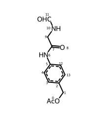 CC(=O)OCc1ccc(NC(=O)CNC=O)cc1